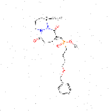 CCOC(=O)[C@@H]1CCCN2C(=O)CC[C@H](CP(=O)(CCCCOCc3ccccc3)OCC)C(=O)N12